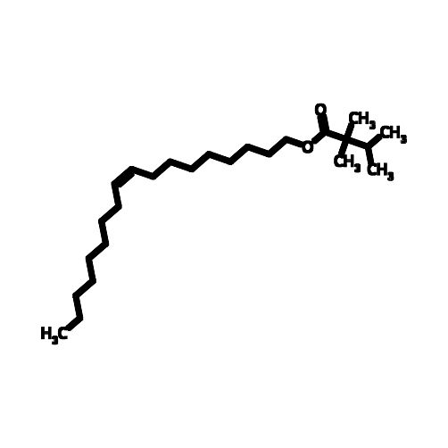 CCCCCCCC/C=C\CCCCCCCCOC(=O)C(C)(C)C(C)C